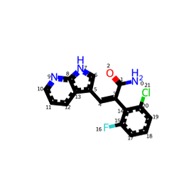 NC(=O)C(=Cc1c[nH]c2ncccc12)c1c(F)cccc1Cl